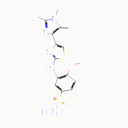 Cc1nc(-c2csc(Nc3cc(S(N)(=O)=O)ccc3OC(C)C)n2)c(C)n1C